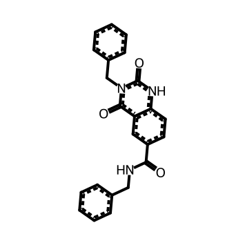 O=C(NCc1ccccc1)c1ccc2[nH]c(=O)n(Cc3ccccc3)c(=O)c2c1